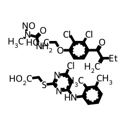 C=C(CC)C(=O)c1ccc(OCC(=O)O)c(Cl)c1Cl.CN(N=O)C(N)=O.Cc1cccc(Nc2cc(Cl)nc(SCC(=O)O)n2)c1C